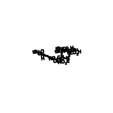 CC(C)(C)OC(=O)NCCCCCCCOc1ccc(C[C@H]2CN(CC(=O)O)CCN(C(C(=O)O)(C(C)(C)C)C(C)(C)C)CCN(C(C(=O)O)(C(C)(C)C)C(C)(C)C)CCN2CC(=O)O)cc1